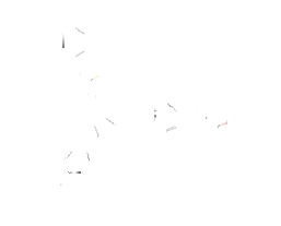 CCOC(=O)C(C)(C)Oc1ccc(OCc2oc(-c3ccc(C(F)(F)F)cc3)cc2COC(=S)Oc2ccccc2)cc1